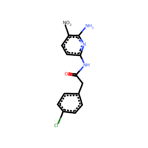 Nc1nc(NC(=O)Cc2ccc(Cl)cc2)ccc1[N+](=O)[O-]